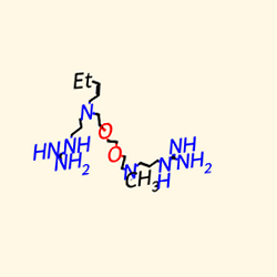 CC/C=C\CN(CCCNC(=N)N)CCOCCOCCN(C)CCCNC(=N)N